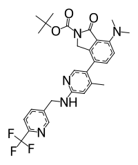 Cc1cc(NCc2ccc(C(F)(F)F)nc2)ncc1-c1ccc(N(C)C)c2c1CN(C(=O)OC(C)(C)C)C2=O